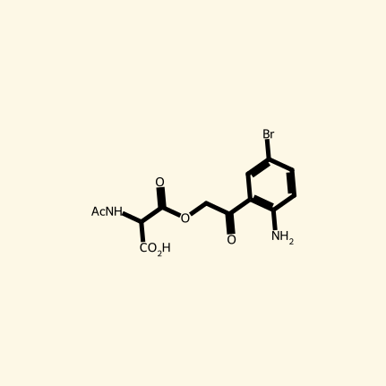 CC(=O)NC(C(=O)O)C(=O)OCC(=O)c1cc(Br)ccc1N